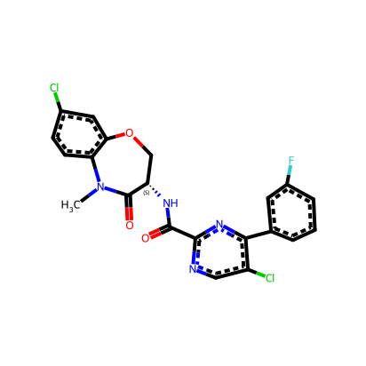 CN1C(=O)[C@@H](NC(=O)c2ncc(Cl)c(-c3cccc(F)c3)n2)COc2cc(Cl)ccc21